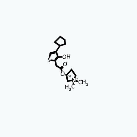 C[N+]1(C)CC[C@H](OC(=O)Cc2scc(C3CCCC3)c2O)C1